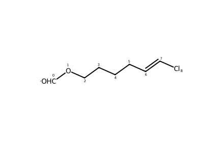 O=[C]OCCCCC=CCl